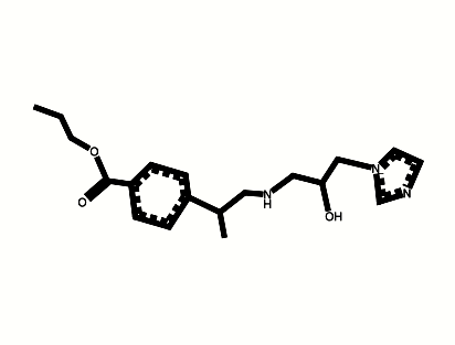 CCCOC(=O)c1ccc(C(C)CNCC(O)Cn2ccnc2)cc1